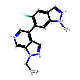 Cn1ncc2cc(F)c(-c3cncc4c3cnn4CC(=O)O)cc21